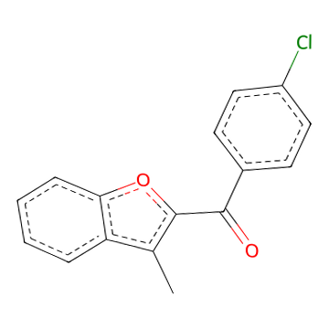 Cc1c(C(=O)c2ccc(Cl)cc2)oc2ccccc12